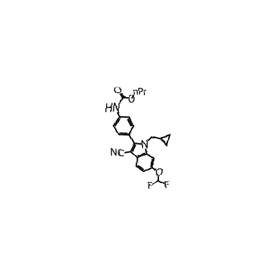 CCCOC(=O)Nc1ccc(-c2c(C#N)c3ccc(OC(F)F)cc3n2CC2CC2)cc1